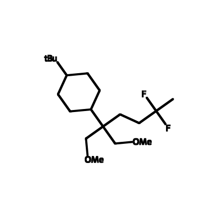 COCC(CCC(C)(F)F)(COC)C1CCC(C(C)(C)C)CC1